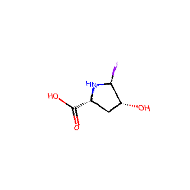 O=C(O)[C@H]1C[C@@H](O)[C@H](I)N1